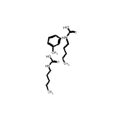 CCCCCNC(=O)O.CCCCCNC(=O)O.Cc1ccccc1